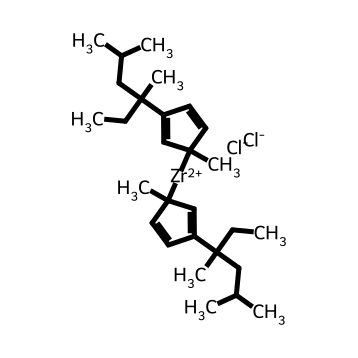 CCC(C)(CC(C)C)C1=C[C](C)([Zr+2][C]2(C)C=CC(C(C)(CC)CC(C)C)=C2)C=C1.[Cl-].[Cl-]